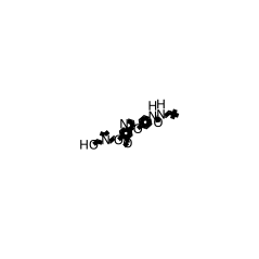 COc1cc2c(Oc3ccc(NC(=O)NCCC(C)(C)C)cc3)ccnc2cc1OCCN(CCO)C(C)C